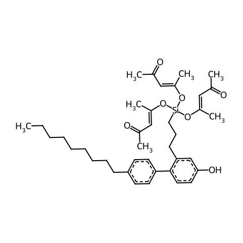 CCCCCCCCCc1ccc(-c2ccc(O)cc2CCC[Si](OC(C)=CC(C)=O)(OC(C)=CC(C)=O)OC(C)=CC(C)=O)cc1